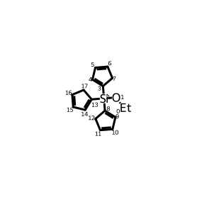 CCO[Si](C1=CC=CC1)(C1=CC=CC1)C1=CC=CC1